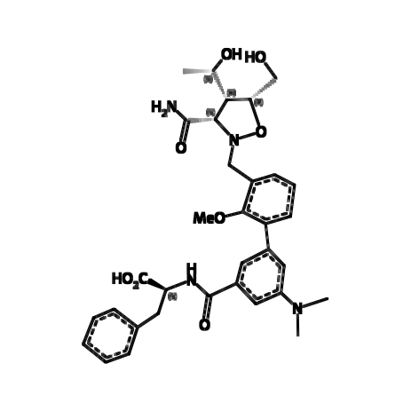 COc1c(CN2O[C@@H](CO)[C@@H]([C@H](C)O)[C@H]2C(N)=O)cccc1-c1cc(C(=O)N[C@@H](Cc2ccccc2)C(=O)O)cc(N(C)C)c1